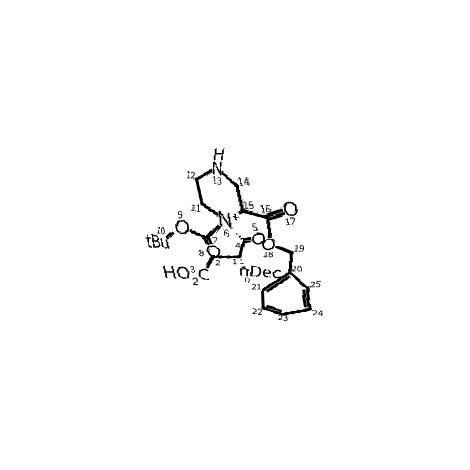 CCCCCCCCCC[C@H](CC(=O)O)C(=O)[N@+]1(C(=O)OC(C)(C)C)CCNCC1C(=O)OCc1ccccc1